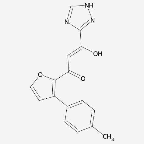 Cc1ccc(-c2ccoc2C(=O)C=C(O)c2nc[nH]n2)cc1